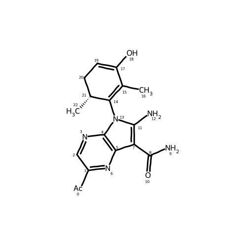 CC(=O)c1cnc2c(n1)c(C(N)=O)c(N)n2C1=C(C)C(O)=CC[C@H]1C